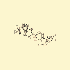 CC(C)(C)OC(=O)N[C@H](CI)CC(=O)N1CCn2c(nnc2C(F)(F)F)C1